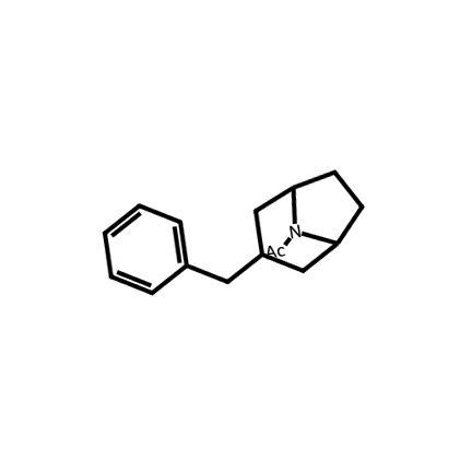 CC(=O)N1C2CCC1CC(Cc1ccccc1)C2